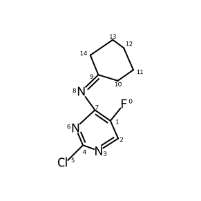 Fc1cnc(Cl)nc1N=C1CCCCC1